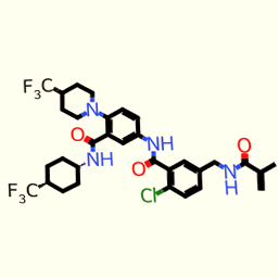 C=C(C)C(=O)NCc1ccc(Cl)c(C(=O)Nc2ccc(N3CCC(C(F)(F)F)CC3)c(C(=O)N[C@H]3CC[C@H](C(F)(F)F)CC3)c2)c1